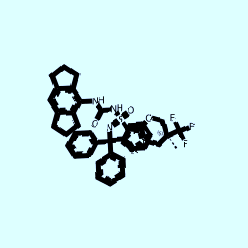 C[C@@]1(C(F)(F)F)COc2c(S(=O)(=NC(c3ccccc3)(c3ccccc3)c3ccccc3)NC(=O)Nc3c4c(cc5c3CCC5)CCC4)cnn2C1